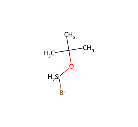 CC(C)(C)O[SiH2]Br